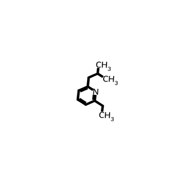 CCc1cccc(CC(C)C)n1